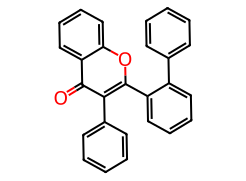 O=c1c(-c2ccccc2)c(-c2ccccc2-c2ccccc2)oc2ccccc12